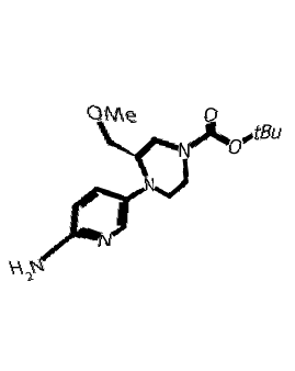 COC[C@H]1CN(C(=O)OC(C)(C)C)CCN1c1ccc(N)nc1